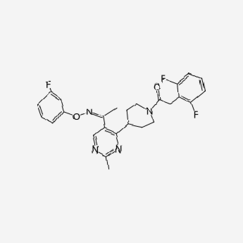 C/C(=N/Oc1cccc(F)c1)c1cnc(C)nc1C1CCN(C(=O)Cc2c(F)cccc2F)CC1